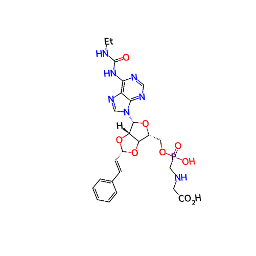 CCNC(=O)Nc1ncnc2c1ncn2[C@@H]1O[C@H](COP(=O)(O)CNCC(=O)O)C2O[C@H](/C=C/c3ccccc3)O[C@@H]21